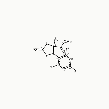 COC(=O)C1(C(C)=O)CC(=O)CC1c1c(C)cc(C)cc1C